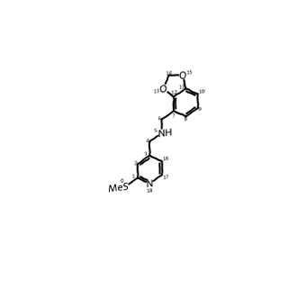 CSc1cc(CNCc2cccc3c2OCO3)ccn1